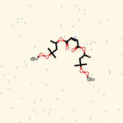 CC(CC(C)(C)OOC(C)(C)C)OC(=O)/C=C\C(=O)OC(C)CC(C)(C)OOC(C)(C)C